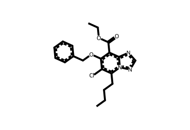 CCCCc1c(Cl)c(OCc2ccccc2)c(C(=O)OCC)c2ncnn12